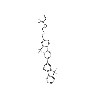 C=CC(=O)OCCCc1ccc2c(c1)C(C)(C)c1cc(-c3ccc4c(c3)C(C)(C)c3ccccc3-4)ccc1-2